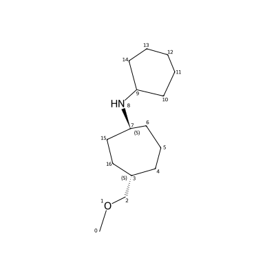 COC[C@H]1CCC[C@H](NC2CCCCC2)CC1